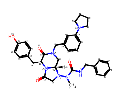 CN(C(=O)NCc1ccccc1)N1CC(=O)N2[C@@H](Cc3ccc(O)cc3)C(=O)N(Cc3cccc(N4CCCC4)c3)C[C@@H]21